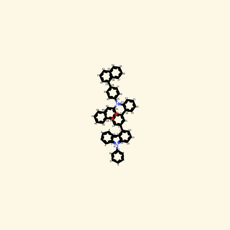 c1ccc(-n2c3ccccc3c3c(-c4cccc(-c5ccccc5N(c5ccc(-c6cccc7ccccc67)cc5)c5ccc6ccccc6c5)c4)cccc32)cc1